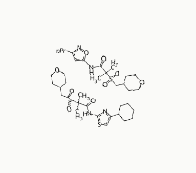 CC(C)(C(=O)Nc1nc(C2CCCCC2)cs1)S(=O)(=O)CC1CCOCC1.CCCc1cc(NC(=O)C(C)(C)S(=O)(=O)CC2CCOCC2)on1